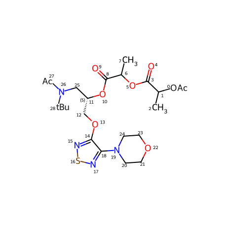 CC(=O)OC(C)C(=O)OC(C)C(=O)O[C@H](COc1nsnc1N1CCOCC1)CN(C(C)=O)C(C)(C)C